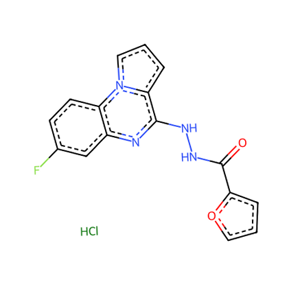 Cl.O=C(NNc1nc2cc(F)ccc2n2cccc12)c1ccco1